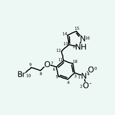 O=[N+]([O-])c1ccc(OCCBr)c(Cc2ccn[nH]2)c1